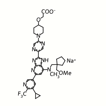 COCC1(CN(C)c2cc(-c3cnc(C(F)(F)F)c(C4CC4)c3)nc3nc(-c4cnc(N5CCC(OCC(=O)[O-])CC5)cn4)[nH]c23)CCCC1.[Na+]